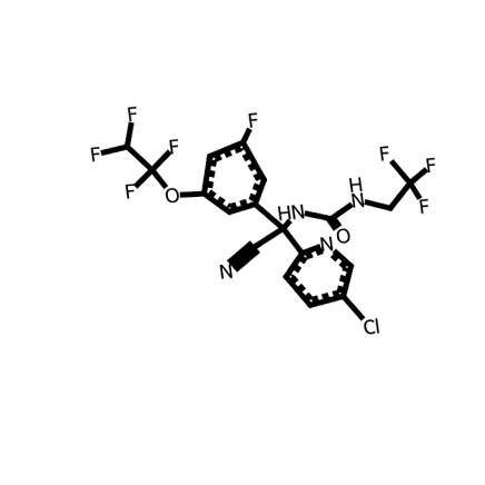 N#CC(NC(=O)NCC(F)(F)F)(c1cc(F)cc(OC(F)(F)C(F)F)c1)c1ccc(Cl)cn1